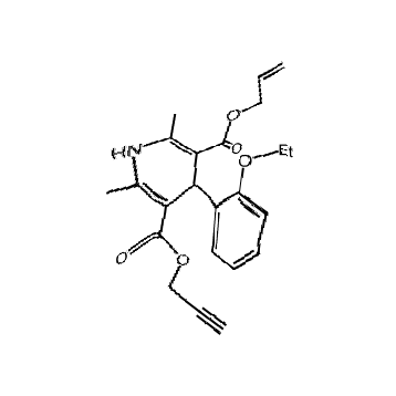 C#CCOC(=O)C1=C(C)NC(C)=C(C(=O)OCC=C)C1c1ccccc1OCC